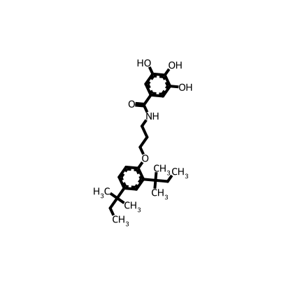 CCC(C)(C)c1ccc(OCCCNC(=O)c2cc(O)c(O)c(O)c2)c(C(C)(C)CC)c1